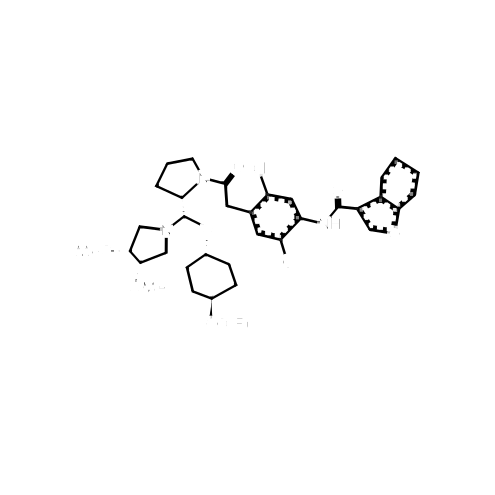 CCOC(=O)[C@H]1CC[C@H](OC([C@@H]2CCCN2C(=O)Cc2cc(Cl)c(NC(=O)c3coc4ccccc34)cc2Cl)N2C[C@H](OC)[C@H](OC)C2)CC1